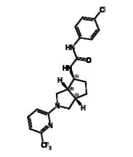 O=C(Nc1ccc(Cl)cc1)N[C@H]1CC[C@@H]2CN(c3cccc(C(F)(F)F)n3)C[C@@H]21